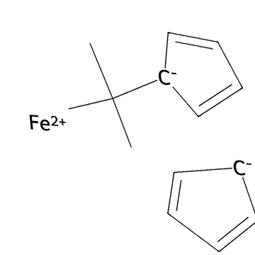 CC(C)(C)[c-]1cccc1.[Fe+2].c1cc[cH-]c1